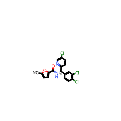 N#Cc1ccc(C(=O)N[C@@H](c2ccc(Cl)c(Cl)c2)c2ccc(Cl)cn2)o1